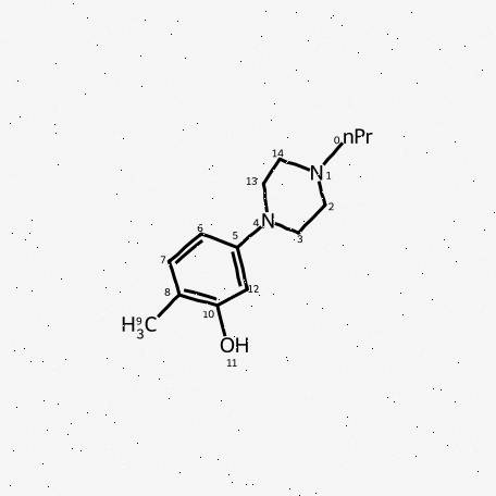 CCCN1CCN(c2ccc(C)c(O)c2)CC1